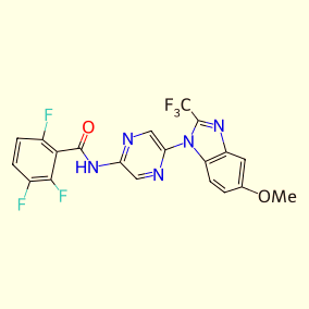 COc1ccc2c(c1)nc(C(F)(F)F)n2-c1cnc(NC(=O)c2c(F)ccc(F)c2F)cn1